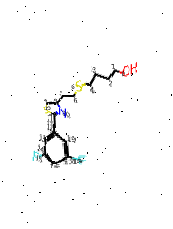 OCCCCSCCc1csc(-c2cc(F)cc(F)c2)n1